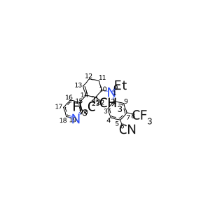 CCN(c1ccc(C#N)c(C(F)(F)F)c1)C1CCC=C(c2cccnc2)C1(C)C